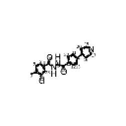 Cc1ccc(C(=O)NNC(=O)c2ccc(-c3ccncc3)cc2)cc1Cl